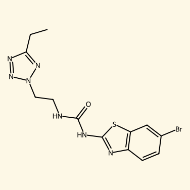 CCc1nnn(CCNC(=O)Nc2nc3ccc(Br)cc3s2)n1